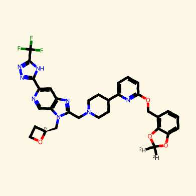 [2H]C1([2H])Oc2cccc(COc3cccc(C4CCN(Cc5nc6cc(-c7nnc(C(F)(F)F)[nH]7)ncc6n5C[C@@H]5CCO5)CC4)n3)c2O1